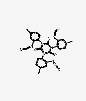 Cc1ccc(-n2c(=O)n(-c3ccc(C)cc3N=C=O)c(=O)n(-c3ccc(C)cc3N=C=O)c2=O)c(N=C=O)c1